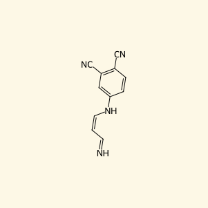 N#Cc1ccc(N/C=C\C=N)cc1C#N